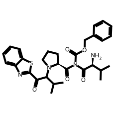 CC(C)C(C(=O)c1nc2ccccc2s1)N1CCC[C@H]1C(=O)N(C(=O)OCc1ccccc1)C(=O)[C@@H](N)C(C)C